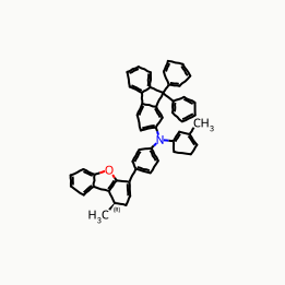 CC1=CCCC(N(c2ccc(C3=CC[C@@H](C)c4c3oc3ccccc43)cc2)c2ccc3c(c2)C(c2ccccc2)(c2ccccc2)c2ccccc2-3)=C1